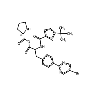 CC(C)(C)c1ccc(C(=O)NC(Cc2ccc(-c3ncc(Br)cn3)cc2)C(=O)OC(=O)[C@@H]2CCCN2)s1